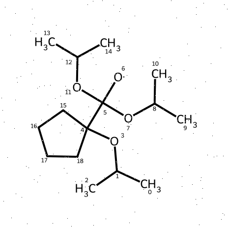 CC(C)OC1(C([O])(OC(C)C)OC(C)C)CCCC1